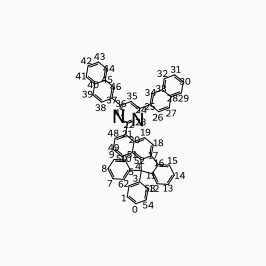 c1ccc(C2(c3ccccc3)c3ccccc3-c3ccc4c(-c5nc(-c6ccc7ccccc7c6)cc(-c6ccc7ccccc7c6)n5)cccc4c32)cc1